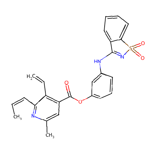 C=Cc1c(C(=O)Oc2cccc(NC3=NS(=O)(=O)c4ccccc43)c2)cc(C)nc1/C=C\C